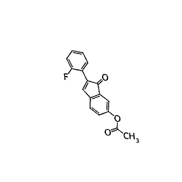 CC(=O)Oc1ccc2c(c1)C(=O)C(c1ccccc1F)=C2